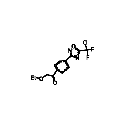 CCOCC(=O)c1ccc(-c2noc(C(F)(F)Cl)n2)cc1